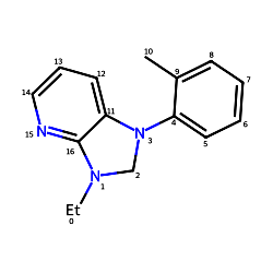 CCN1CN(c2ccccc2C)c2cccnc21